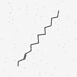 C[CH]CCCCCCCCC=CCC